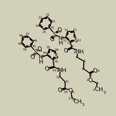 CCOC(=O)CCCNC(=O)c1sccc1NS(=O)(=O)c1ccccc1.CCOC(=O)CCNC(=O)c1sccc1NS(=O)(=O)c1ccccc1